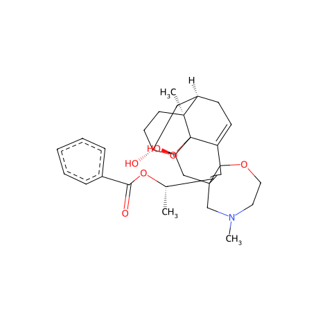 C[C@H](OC(=O)c1ccccc1)C1=CCC23OCCN(C)CC12C[C@@H](O)C12O[C@@]4(O)CC[C@@]1(C)[C@H](CC=C32)C4